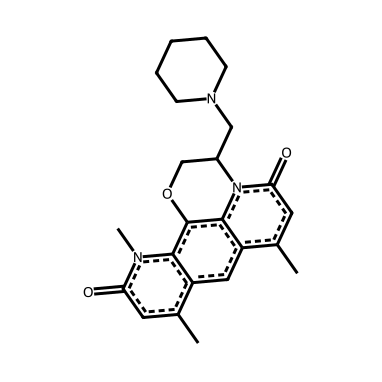 Cc1cc(=O)n(C)c2c3c4c(cc12)c(C)cc(=O)n4C(CN1CCCCC1)CO3